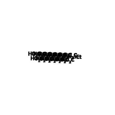 CCC(CC(CC(CC(CC(CC(CC(CC(CC(CC(CC(CC(CC(CC(CC(C)C(=O)O)C(=O)O)C(=O)O)C(=O)O)C(=O)O)C(=O)O)C(=O)O)C(=O)O)C(=O)O)C(=O)O)C(=O)O)C(=O)O)C(=O)O)C(=O)O)C(=O)O